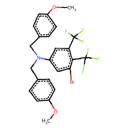 COc1ccc(CN(Cc2ccc(OC)cc2)c2cc(Br)c(C(F)(F)F)c(C(F)(F)F)c2)cc1